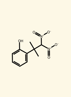 CC(C)(c1ccccc1O)C([N+](=O)[O-])[N+](=O)[O-]